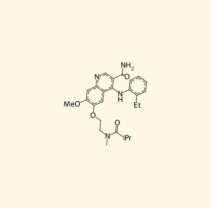 CCc1ccccc1Nc1c(C(N)=O)cnc2cc(OC)c(OCCN(C)C(=O)C(C)C)cc12